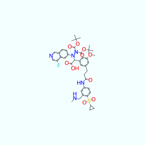 CNCc1cc(NC(=O)CCc2cc(OC)cc(C(C(=O)O)N(c3ccc4cncc(F)c4c3)N(C(=O)OC(C)(C)C)C(=O)OC(C)(C)C)c2)ccc1S(=O)(=O)C1CC1